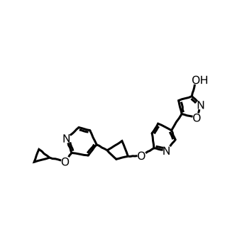 Oc1cc(-c2ccc(OC3CC(c4ccnc(OC5CC5)c4)C3)nc2)on1